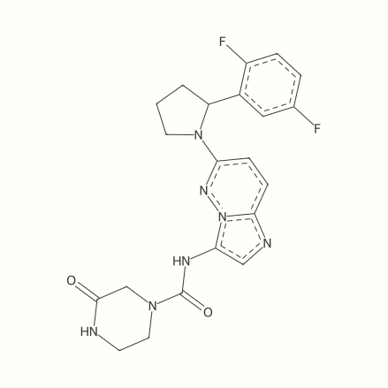 O=C1CN(C(=O)Nc2cnc3ccc(N4CCCC4c4cc(F)ccc4F)nn23)CCN1